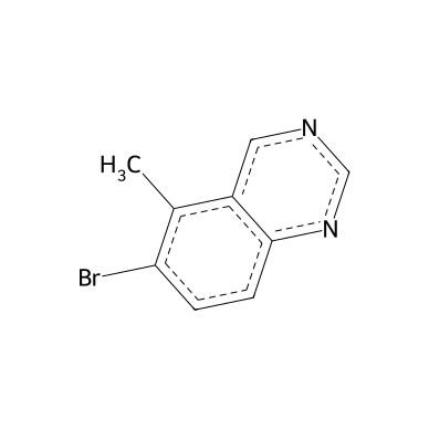 Cc1c(Br)ccc2ncncc12